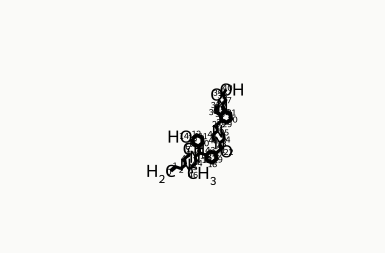 C=CCN1C[C@@H](C)N(C(c2cccc(O)c2)c2cccc(C(=O)N3CCN(Cc4cccc5c4ccn5CC(=O)O)CC3)c2)C[C@H]1C